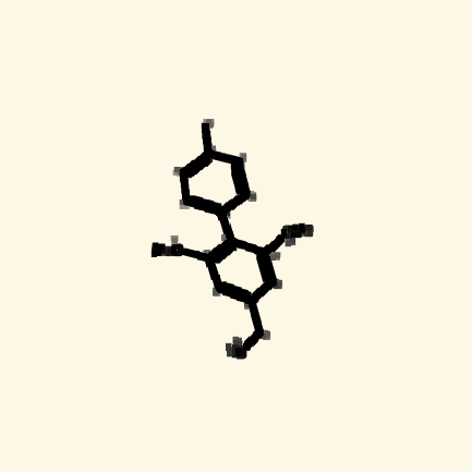 [CH2]c1ccc(-c2c(OC)cc(CO)cc2OC)cc1